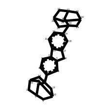 c1cc2c(cc1C13CC4CC(CC(C4)C1)C3)Cc1cc(C34CC5CC(CC(C5)C3)C4)ccc1-2